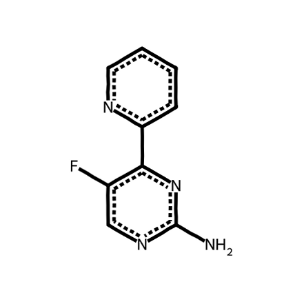 Nc1ncc(F)c(-c2ccccn2)n1